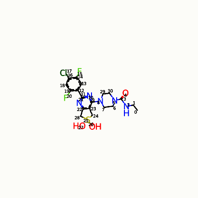 CCNC(=O)N1CCN(c2nc(-c3cc(F)c(Cl)cc3F)nc3c2CS(O)(O)C3)CC1